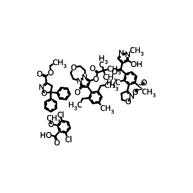 CCOC(=O)C1=NOC(c2ccccc2)(c2ccccc2)C1.CCc1cc(C)cc(CC)c1-c1c(OC(=O)C(C)(C)C)n2n(c1=O)CCOCC2.COc1c(Cl)ccc(Cl)c1C(=O)O.Cc1c(C(=O)c2cnn(C)c2O)ccc(S(C)(=O)=O)c1C1=NOCC1